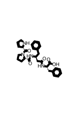 O=C(C[C@H](Cc1ccccc1)NC(=O)[C@@H]1CCCN1C(=O)[C@@H]1C=CCN1)N[C@@H](Cc1ccccc1)C(=O)O